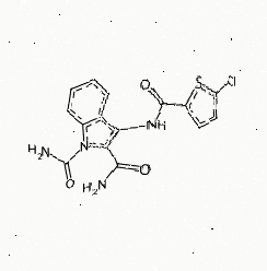 NC(=O)c1c(NC(=O)c2ccc(Cl)s2)c2ccccc2n1C(N)=O